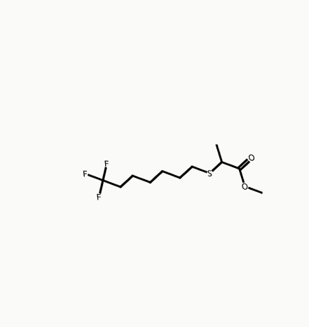 COC(=O)C(C)SCCCCCCC(F)(F)F